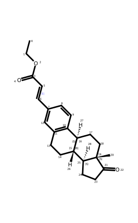 CCOC(=O)/C=C/c1ccc2c(c1)CC[C@@H]1[C@@H]2CC[C@]2(C)C(=O)CC[C@@H]12